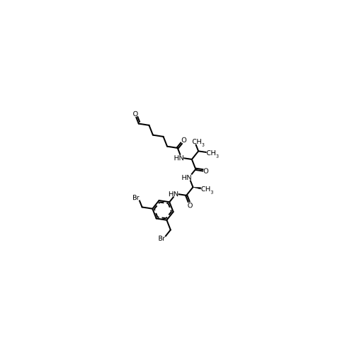 CC(C)C(NC(=O)CCCCC=O)C(=O)N[C@@H](C)C(=O)Nc1cc(CBr)cc(CBr)c1